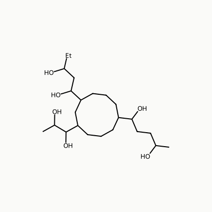 CCC(O)CC(O)C1CCCC(C(O)CCC(C)O)CCCC(C(O)C(C)O)C1